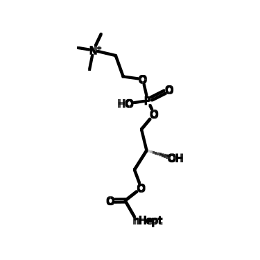 CCCCCCCC(=O)OC[C@@H](O)COP(=O)(O)OCC[N+](C)(C)C